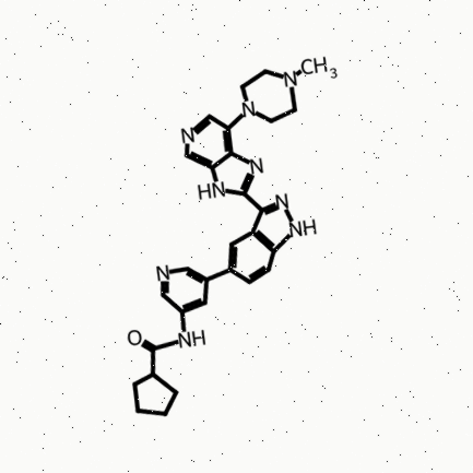 CN1CCN(c2cncc3[nH]c(-c4n[nH]c5ccc(-c6cncc(NC(=O)C7CCCC7)c6)cc45)nc23)CC1